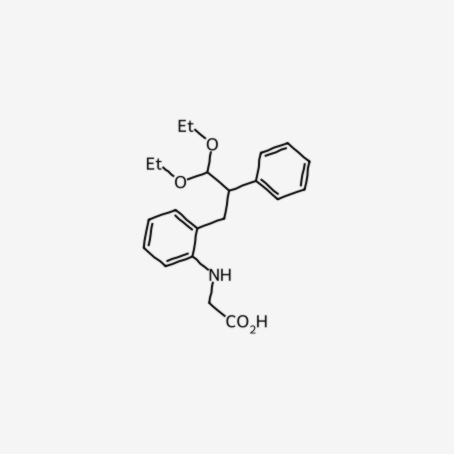 CCOC(OCC)C(Cc1ccccc1NCC(=O)O)c1ccccc1